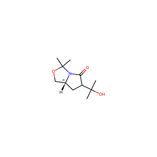 CC(C)(O)C1C[C@@H]2COC(C)(C)N2C1=O